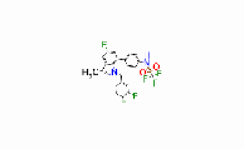 Cc1cn(Cc2ccc(F)c(F)c2)c2c(-c3ccc(NS(=O)(=O)C(F)(F)F)cc3)cc(F)cc12